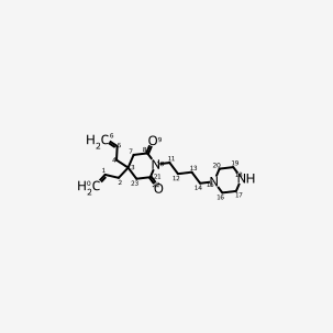 C=CCC1(CC=C)CC(=O)N(CCCCN2CCNCC2)C(=O)C1